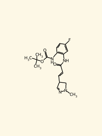 CN1CC(/C=C/C(=O)Nc2cc(F)ccc2NC(=O)OC(C)(C)C)C=N1